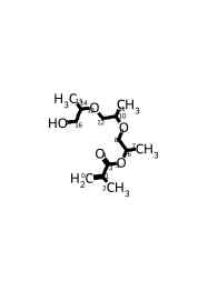 C=C(C)C(=O)OC(C)COC(C)COC(C)CO